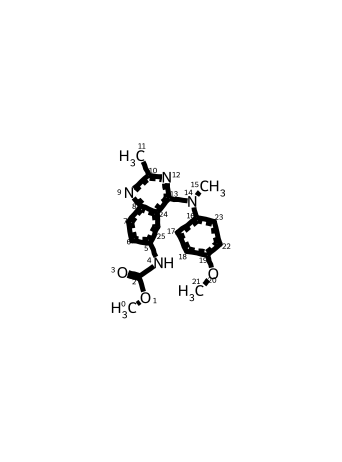 COC(=O)Nc1ccc2nc(C)nc(N(C)c3ccc(OC)cc3)c2c1